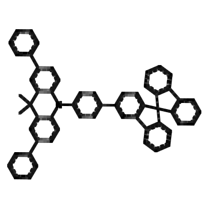 CC1(C)c2cc(-c3ccccc3)ccc2N(c2ccc(-c3ccc4c(c3)-c3ccccc3C43c4ccccc4-c4ccccc43)cc2)c2ccc(-c3ccccc3)cc21